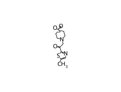 Cc1cnc(C(=O)CN2CCS(=O)(=O)CC2)s1